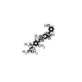 Cc1cc(N(C)C(=O)CN(C)C)cc(C)c1/C=C/S(=O)(=O)N1CCC2(CC1)N=C(c1cccc(O)c1)NC2=O